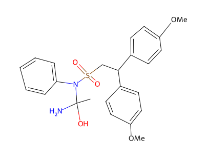 COc1ccc(C(CS(=O)(=O)N(c2ccccc2)C(C)(N)O)c2ccc(OC)cc2)cc1